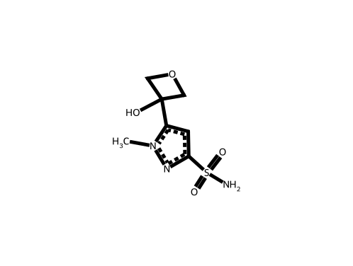 Cn1nc(S(N)(=O)=O)cc1C1(O)COC1